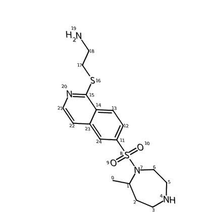 CC1CCNCCN1S(=O)(=O)c1ccc2c(SCCN)nccc2c1